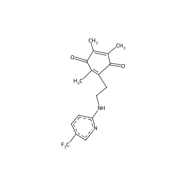 CC1=C(C)C(=O)C(CCNc2ccc(C(F)(F)F)cn2)=C(C)C1=O